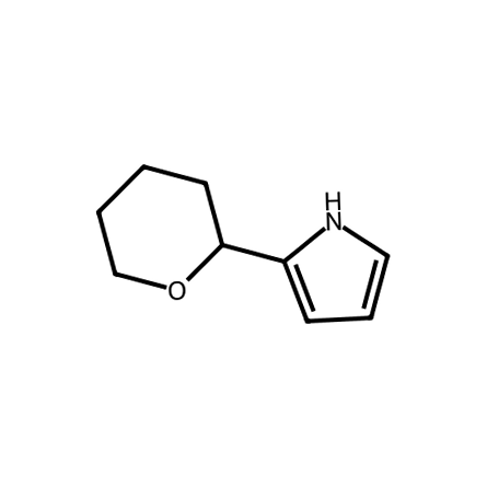 c1c[nH]c(C2CCCCO2)c1